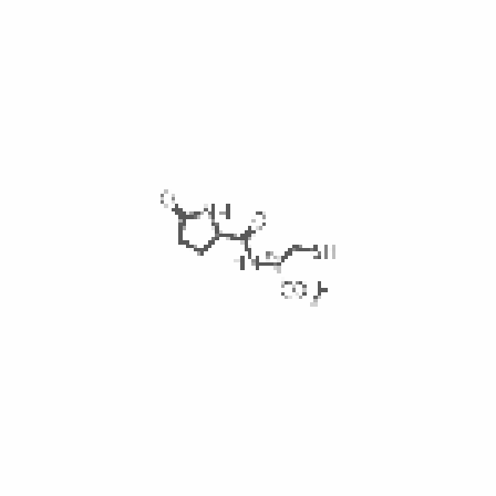 O=C1CCC(C(=O)N[C@H](CS)C(=O)O)N1